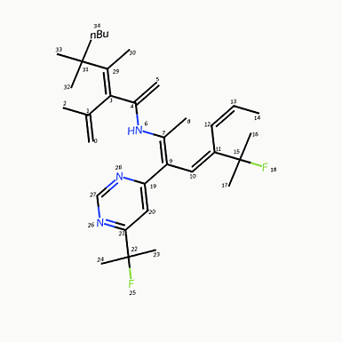 C=C(C)/C(C(=C)N/C(C)=C(/C=C(\C=C/C)C(C)(C)F)c1cc(C(C)(C)F)ncn1)=C(/C)C(C)(C)CCCC